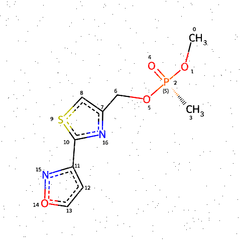 CO[P@](C)(=O)OCc1csc(-c2ccon2)n1